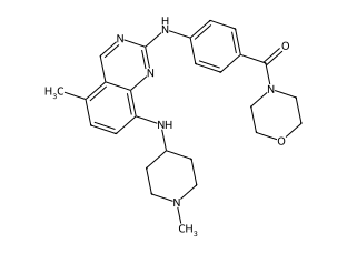 Cc1ccc(NC2CCN(C)CC2)c2nc(Nc3ccc(C(=O)N4CCOCC4)cc3)ncc12